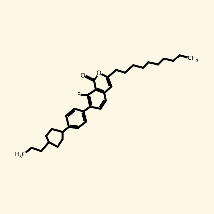 CCCCCCCCCCc1cc2ccc(-c3ccc(C4CCC(CCC)CC4)cc3)c(F)c2c(=O)o1